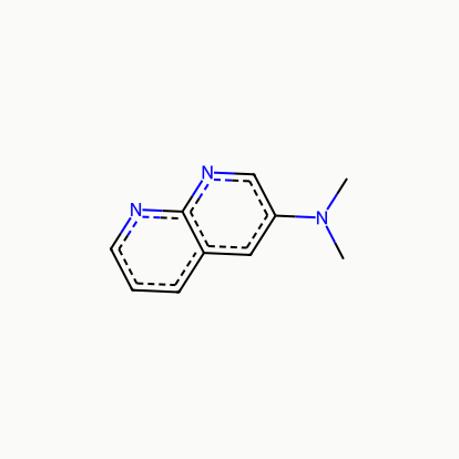 CN(C)c1cnc2ncccc2c1